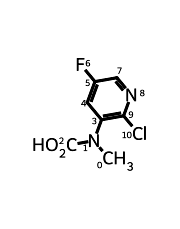 CN(C(=O)O)c1cc(F)cnc1Cl